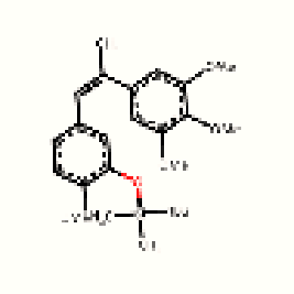 COc1ccc(C=C(C)c2cc(OC)c(OC)c(OC)c2)cc1O[Si](C)(C)C(C)(C)C